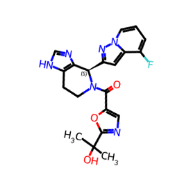 CC(C)(O)c1ncc(C(=O)N2CCc3[nH]cnc3[C@H]2c2cc3c(F)cccn3n2)o1